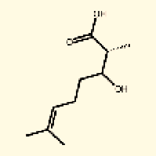 CC(C)=CCCC(O)[C@@H](C)C(=O)O